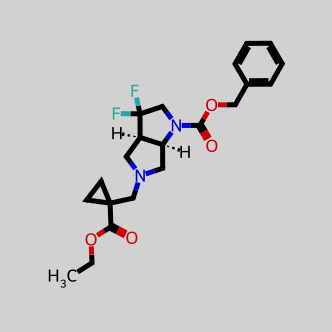 CCOC(=O)C1(CN2C[C@@H]3[C@H](C2)N(C(=O)OCc2ccccc2)CC3(F)F)CC1